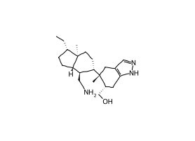 CC[C@H]1CC[C@H]2[C@H](CN)[C@@H]([C@]3(C)Cc4cn[nH]c4C[C@@H]3CO)CC[C@]12C